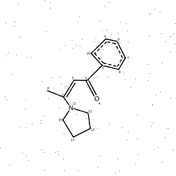 C/C(=C/C(=O)c1ccccc1)N1CCCC1